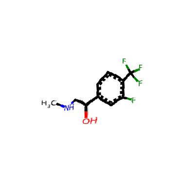 CNCC(O)c1ccc(C(F)(F)F)c(F)c1